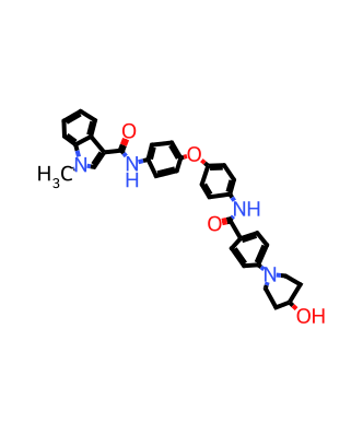 Cn1cc(C(=O)Nc2ccc(Oc3ccc(NC(=O)c4ccc(N5CCC(O)CC5)cc4)cc3)cc2)c2ccccc21